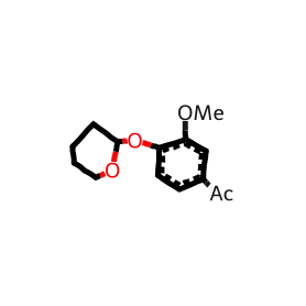 COc1cc(C(C)=O)ccc1OC1CCCCO1